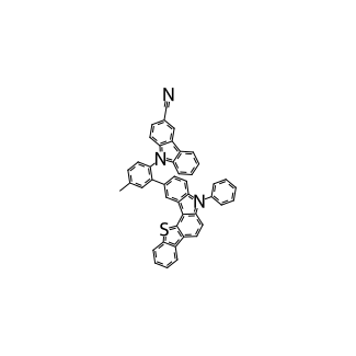 Cc1ccc(-n2c3ccccc3c3cc(C#N)ccc32)c(-c2ccc3c(c2)c2c4sc5ccccc5c4ccc2n3-c2ccccc2)c1